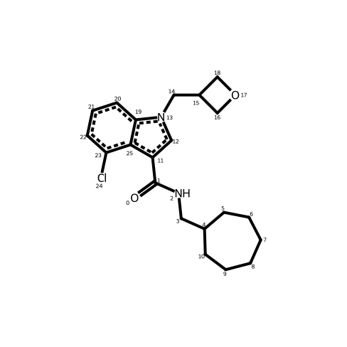 O=C(NCC1CCCCCC1)c1cn(CC2COC2)c2cccc(Cl)c12